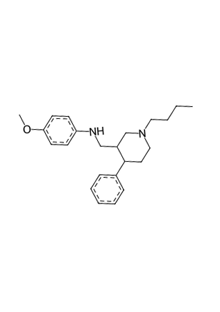 CCCCN1CCC(c2ccccc2)C(CNc2ccc(OC)cc2)C1